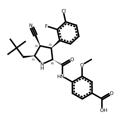 COc1cc(C(=O)O)ccc1NC(=O)[C@@H]1N[C@@H](CC(C)(C)C)[C@@H](C#N)[C@H]1c1cccc(Cl)c1F